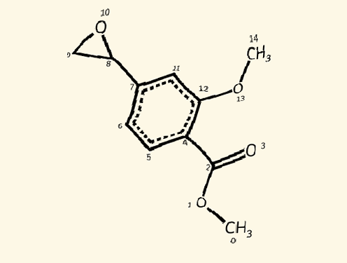 COC(=O)c1ccc(C2CO2)cc1OC